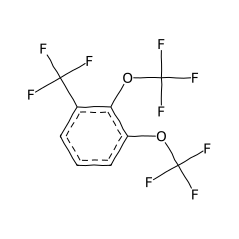 FC(F)(F)Oc1cccc(C(F)(F)F)c1OC(F)(F)F